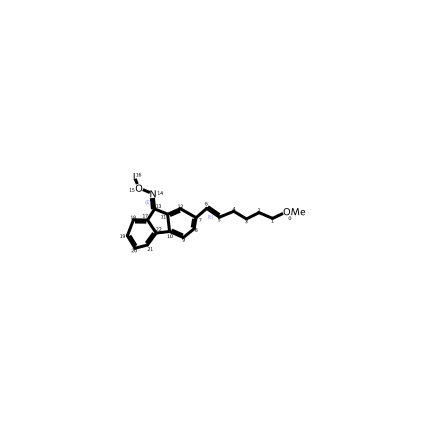 COCCCC/C=C/c1ccc2c(c1)/C(=N/OI)c1ccccc1-2